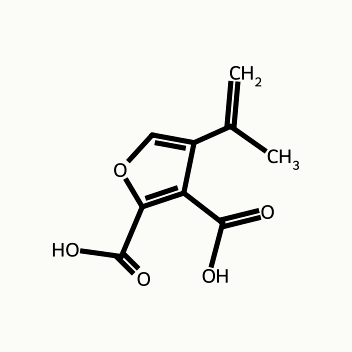 C=C(C)c1coc(C(=O)O)c1C(=O)O